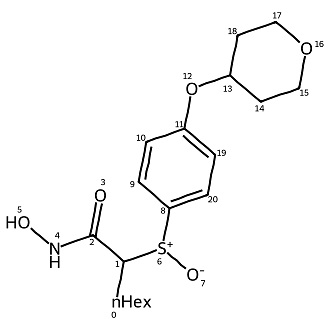 CCCCCCC(C(=O)NO)[S+]([O-])c1ccc(OC2CCOCC2)cc1